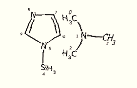 CN(C)C.[SiH3]n1ccnc1